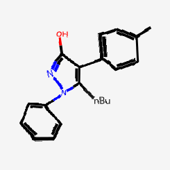 CCCCc1c(-c2ccc(C)cc2)c(O)nn1-c1ccccc1